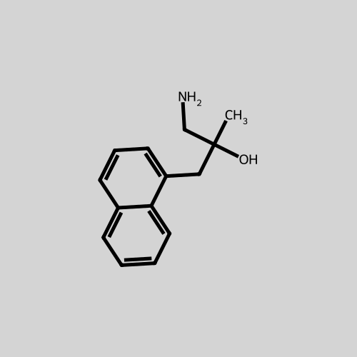 CC(O)(CN)Cc1cccc2ccccc12